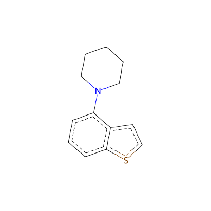 c1cc(N2CCCCC2)c2ccsc2c1